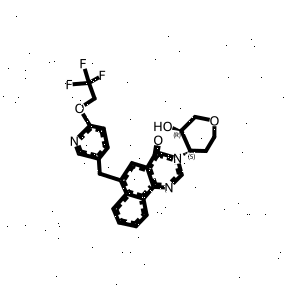 O=c1c2cc(Cc3ccc(OCC(F)(F)F)nc3)c3ccccc3c2ncn1[C@H]1CCOC[C@@H]1O